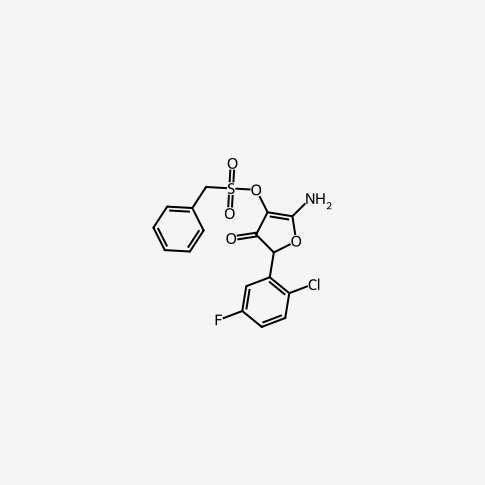 NC1=C(OS(=O)(=O)Cc2ccccc2)C(=O)C(c2cc(F)ccc2Cl)O1